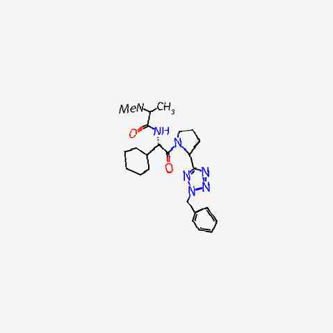 CNC(C)C(=O)N[C@H](C(=O)N1CCCC1c1nnn(Cc2ccccc2)n1)C1CCCCC1